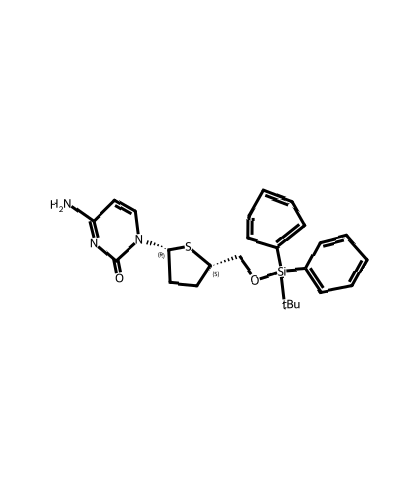 CC(C)(C)[Si](OC[C@@H]1CC[C@H](n2ccc(N)nc2=O)S1)(c1ccccc1)c1ccccc1